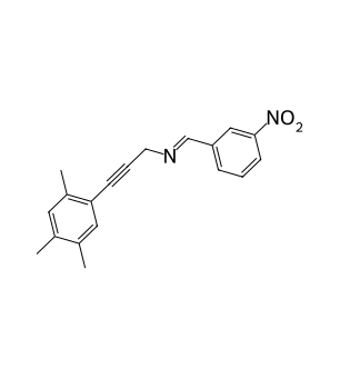 Cc1cc(C)c(C#CCN=Cc2cccc([N+](=O)[O-])c2)cc1C